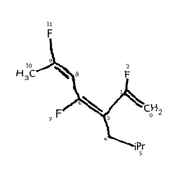 C=C(F)/C(CC(C)C)=C(F)\C=C(/C)F